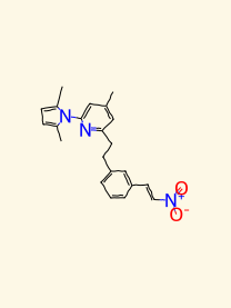 Cc1cc(CCc2cccc(/C=C/[N+](=O)[O-])c2)nc(-n2c(C)ccc2C)c1